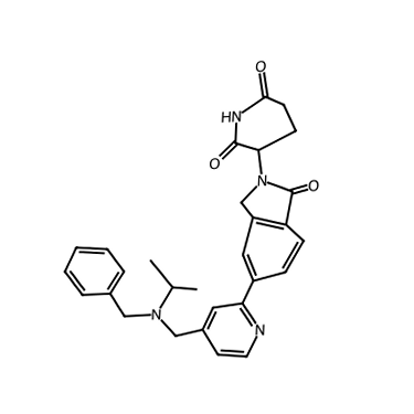 CC(C)N(Cc1ccccc1)Cc1ccnc(-c2ccc3c(c2)CN(C2CCC(=O)NC2=O)C3=O)c1